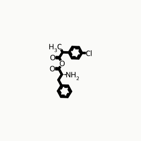 CC(C(=O)OC(=O)[C@H](N)Cc1ccccc1)c1ccc(Cl)cc1